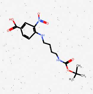 CC(C)(C)OC(=O)NCCCCNc1ccc(C(=O)O)cc1[N+](=O)[O-]